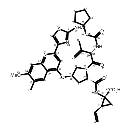 C=C[C@@H]1C[C@]1(NC(=O)[C@@H]1C[C@@H](Oc2cc(-c3csc(NC(C)=O)n3)nc3cc(OC)c(C)cc23)CN1C(=O)[C@@H](NC(=O)NC1CCCC1)C(=C)C)C(=O)O